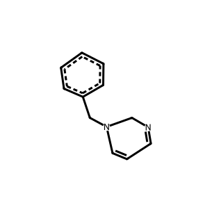 C1=CN(Cc2ccccc2)CN=C1